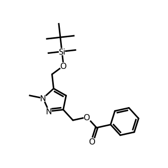 Cn1nc(COC(=O)c2ccccc2)cc1CO[Si](C)(C)C(C)(C)C